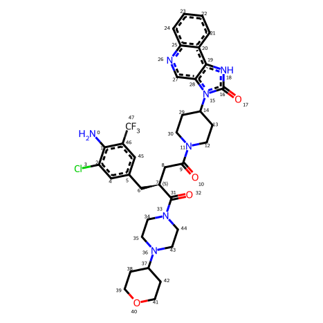 Nc1c(Cl)cc(C[C@@H](CC(=O)N2CCC(n3c(=O)[nH]c4c5ccccc5ncc43)CC2)C(=O)N2CCN(C3CCOCC3)CC2)cc1C(F)(F)F